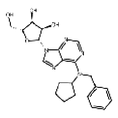 OC[C@H]1O[C@@H](n2cnc3c(N(Cc4ccccc4)C4CCCC4)ncnc32)[C@H](O)[C@@H]1O